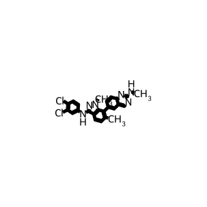 CNc1ncc2cc(-c3c(C)ccc4c(Nc5ccc(Cl)c(Cl)c5)nn(C)c34)ccc2n1